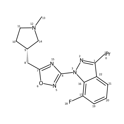 CC(C)c1nn(-c2noc(C[C@@H]3CCN(C)C3)n2)c2c(F)cccc12